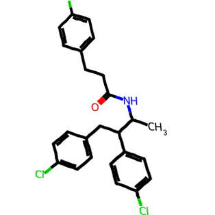 CC(NC(=O)CCc1ccc(Cl)cc1)C(Cc1ccc(Cl)cc1)c1ccc(Cl)cc1